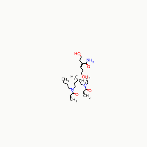 C=CC(=O)N(CC)CC.C=CC(=O)N(CCCC)CCCC.NC(=O)C(=CCCO)CCO